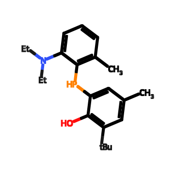 CCN(CC)c1cccc(C)c1Pc1cc(C)cc(C(C)(C)C)c1O